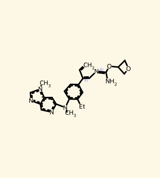 C=C/C(=C\N=C(/N)OC1COC1)c1ccc(N(C)c2cc3c(cn2)ncn3C)c(CC)c1